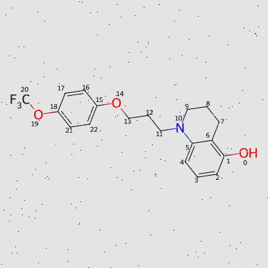 Oc1cccc2c1CCCN2CCCOc1ccc(OC(F)(F)F)cc1